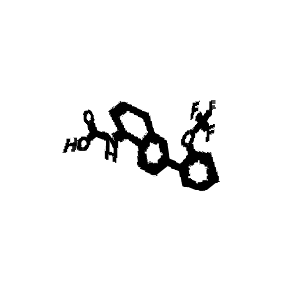 O=C(O)NC1CCCc2cc(-c3ccccc3OC(F)(F)F)ccc21